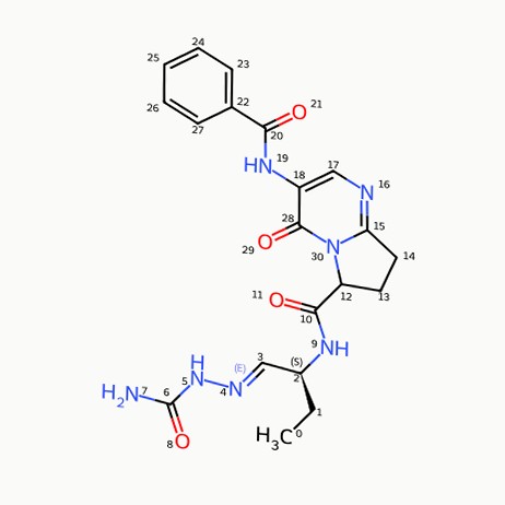 CC[C@@H](/C=N/NC(N)=O)NC(=O)C1CCc2ncc(NC(=O)c3ccccc3)c(=O)n21